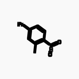 Cc1cc(C(C)C)ccc1[SH](=O)=O